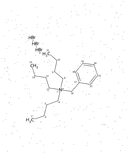 Br.Br.Br.CCCC[N+](CCCC)(CCCC)Cc1ccccc1